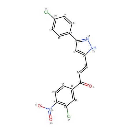 O=C(C=Cc1cc(-c2ccc(Cl)cc2)n[nH]1)c1ccc([N+](=O)[O-])c(Cl)c1